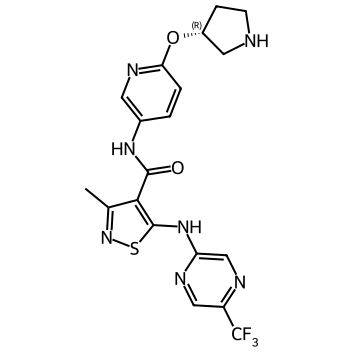 Cc1nsc(Nc2cnc(C(F)(F)F)cn2)c1C(=O)Nc1ccc(O[C@@H]2CCNC2)nc1